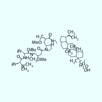 C=C(C)[C@@H]1CC[C@]2(CCNC(=O)[C@H](C)[C@@H](OC)C3CCCN3C(=O)C[C@@H](OC)[C@H]([C@@H](C)CC)N(C)C(=O)C(NC(=O)[C@H](C(C)C)N(C)C)C(C)C)CC[C@]3(C)C(CCC4[C@@]5(C)CC[C@H](COOO)C(C)(C)C5CC[C@]43C)C12